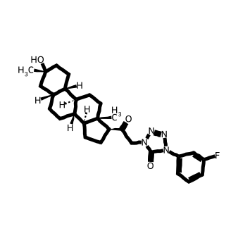 C[C@@]1(O)CC[C@H]2[C@H](CC[C@@H]3[C@@H]2CC[C@]2(C)[C@@H](C(=O)Cn4nnn(-c5cccc(F)c5)c4=O)CC[C@@H]32)C1